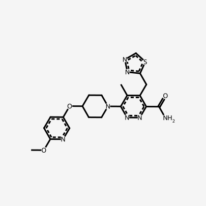 COc1ccc(OC2CCN(c3nnc(C(N)=O)c(Cc4nncs4)c3C)CC2)cn1